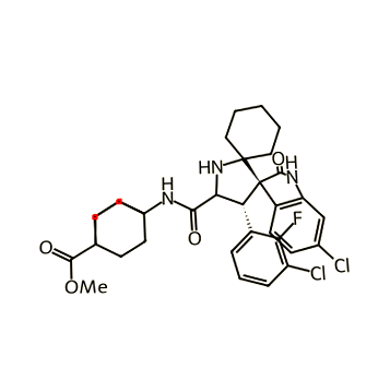 COC(=O)C12CCC(NC(=O)C3NC4(CCCCC4)[C@]4(C(=O)Nc5cc(Cl)ccc54)[C@@H]3c3cccc(Cl)c3F)(CC1)CC2